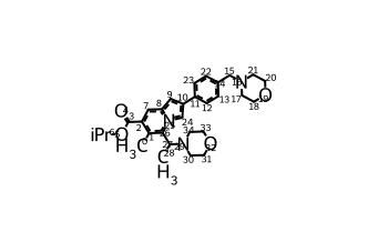 Cc1c(C(=O)OC(C)C)cc2cc(-c3ccc(CN4CCOCC4)cc3)cn2c1C(C)N1CCOCC1